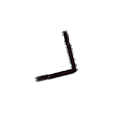 F[Si](F)(F)F.F[Si](F)(F)F.F[Si](F)(F)F.F[Si](F)(F)F.F[Si](F)(F)F.F[Si](F)(F)F.F[Si](F)(F)F.F[Si](F)(F)F.F[Si](F)(F)F.F[Si](F)(F)F.[O].[O].[O].[O].[O].[O].[O].[O].[O].[O].[O].[O].[O].[O].[O].[O].[O].[O].[O].[O].[O].[O].[O].[O].[O].[O].[O].[O].[O].[O].[O].[O].[O].[O].[O].[O].[O].[O].[O].[O].[O].[O].[O].[O].[O].[O].[O].[O].[O].[O].[O].[O].[O].[O].[O].[O].[O].[O].[O].[O].[O].[O].[O].[O].[O].[O].[O].[O].[O].[O].[O].[O].[O].[O].[O].[O].[O].[O].[O].[O].[O].[O].[O].[O].[O].[O].[O].[O].[O].[O]